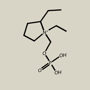 CCC1CCC[N+]1(CC)COP(=O)(O)O